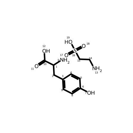 NC(Cc1ccc(O)cc1)C(=O)O.NCCS(=O)(=O)O